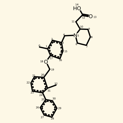 Cc1cc(CN2CCCCC2CC(=O)O)ccc1OCc1cccc(-c2ccccc2)c1C